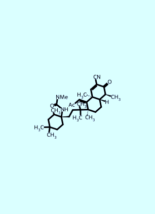 CNC(=O)N[C@]1(CCC(C)(C)[C@]2(C)CC[C@H]3[C@H](C)C(=O)C(C#N)=C[C@]3(C)/C2=C/C(C)=O)CCC(C)(C)CC1C